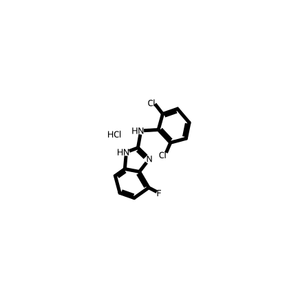 Cl.Fc1cccc2[nH]c(Nc3c(Cl)cccc3Cl)nc12